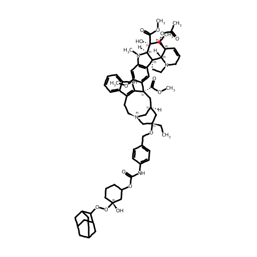 CC[C@]1(OCc2ccc(NC(=O)OC3CCC[C@@](O)(OOC4C5CC6CC(C5)CC4C6)C3)cc2)C[C@H]2C[N@](CCc3c([nH]c4ccccc34)[C@@](C(=O)OC)(c3cc4c(cc3OC)N(C)[C@H]3[C@@](O)(C(=O)OC)[C@H](OC(C)=O)[C@]5(CC)C=CCN6CC[C@]43[C@@H]65)C2)C1